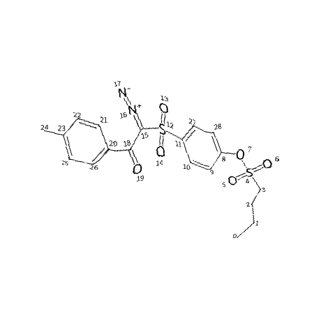 CCCCS(=O)(=O)Oc1ccc(S(=O)(=O)C(=[N+]=[N-])C(=O)c2ccc(C)cc2)cc1